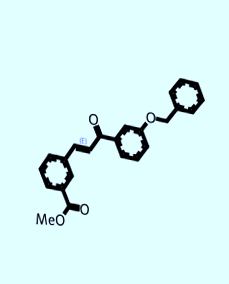 COC(=O)c1cccc(/C=C/C(=O)c2cccc(OCc3ccccc3)c2)c1